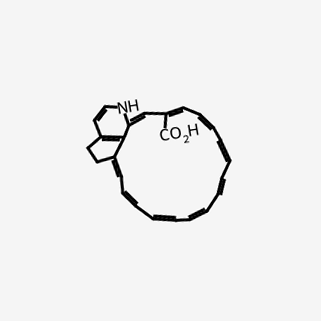 O=C(O)C1=C\C=C/C=C\C=C/C=C\C=C/C=C\C=C2/CCC3=C2/C(=C\1)NC=C3